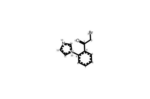 O=C(CBr)c1ccccc1-n1ccnc1